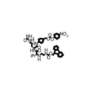 CC(C)[C@H](NCCNC(=O)OCC1c2ccccc2-c2ccccc21)C(=O)N[C@@H](CCCNC(N)=O)C(=O)Nc1ccc(COC(=O)Oc2ccc([N+](=O)[O-])cc2)cc1